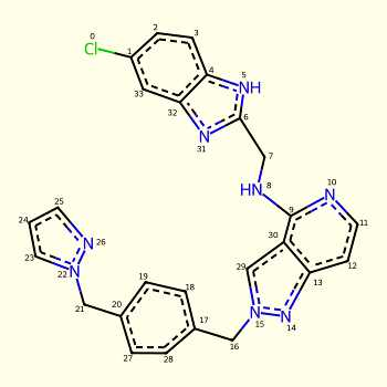 Clc1ccc2[nH]c(CNc3nccc4nn(Cc5ccc(Cn6cccn6)cc5)cc34)nc2c1